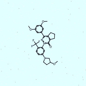 COc1cc(OC)cc(-c2nn(-c3cc(N4CCC(OC)C4)ccc3C(F)(F)F)c(=O)c3c2CCC3)c1